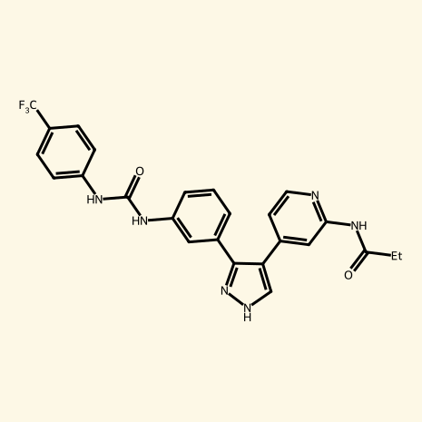 CCC(=O)Nc1cc(-c2c[nH]nc2-c2cccc(NC(=O)Nc3ccc(C(F)(F)F)cc3)c2)ccn1